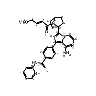 COC/C=C/C(=O)N1C2CCC1(c1nc(-c3ccc(C(=O)Nc4ccccn4)cc3)c3c(N)nccn13)CC2